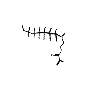 C=C(C)C(=O)OCCN(C)C(C)(C)C(C)(C)C(C)(C)C(C)(C)C(C)(C)C(C)(C)CC